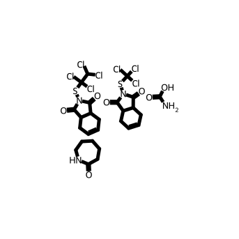 NC(=O)O.O=C1C2CC=CCC2C(=O)N1SC(Cl)(Cl)C(Cl)Cl.O=C1C2CC=CCC2C(=O)N1SC(Cl)(Cl)Cl.O=C1CCCCCN1